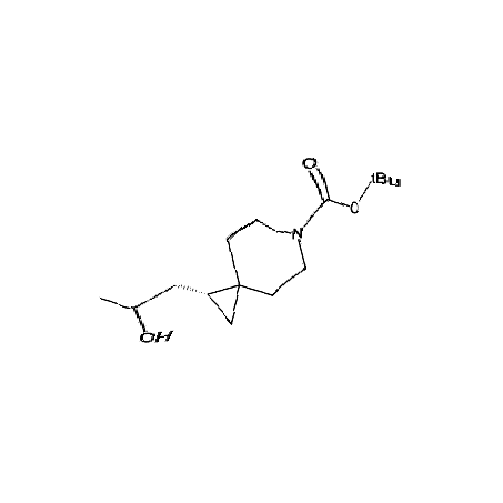 CC(O)C[C@H]1CC12CCN(C(=O)OC(C)(C)C)CC2